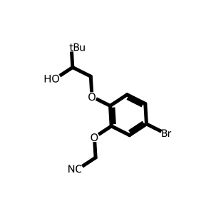 CC(C)(C)C(O)COc1ccc(Br)cc1OCC#N